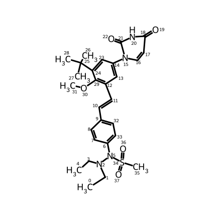 CCN(CC)N(c1ccc(/C=C/c2cc(-n3ccc(=O)[nH]c3=O)cc(C(C)(C)C)c2OC)cc1)S(C)(=O)=O